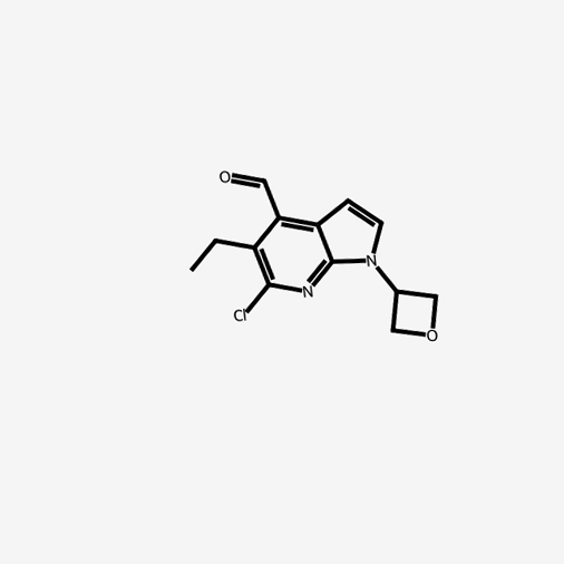 CCc1c(Cl)nc2c(ccn2C2COC2)c1C=O